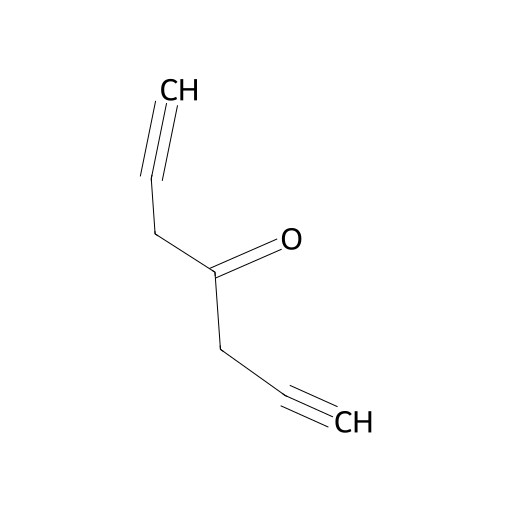 C#CCC(=O)CC#C